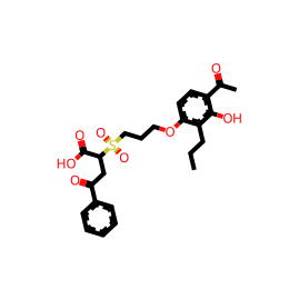 CCCc1c(OCCCS(=O)(=O)C(CC(=O)c2ccccc2)C(=O)O)ccc(C(C)=O)c1O